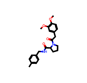 COc1ccc(CC(=O)N2CCCC2C(=O)NCc2ccc(C)cc2)cc1OC